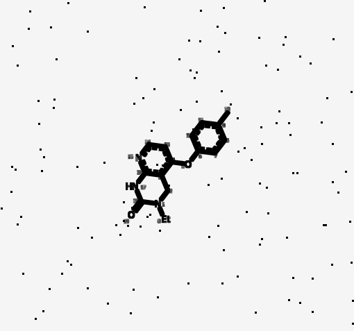 CCN1Cc2c(Oc3ccc(C)cc3)ccnc2NC1=O